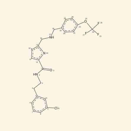 O=C(NCCc1cccc(Cl)c1)c1csc(CNCc2ccc(OC(F)(F)F)cc2)n1